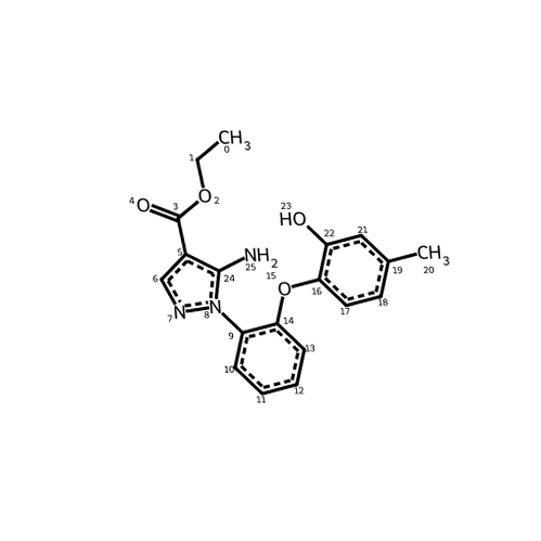 CCOC(=O)c1cnn(-c2ccccc2Oc2ccc(C)cc2O)c1N